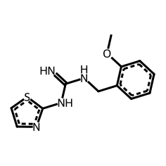 COc1ccccc1CNC(=N)Nc1nccs1